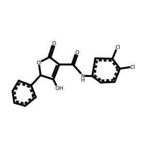 O=C(Nc1ccc(Cl)c(Cl)c1)C1=C(O)C(c2ccccc2)OC1=O